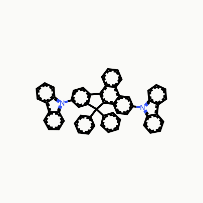 c1ccc(C2(c3ccccc3)c3cc(-n4c5ccccc5c5ccccc54)ccc3-c3c2c2ccc(-n4c5ccccc5c5ccccc54)cc2c2ccccc32)cc1